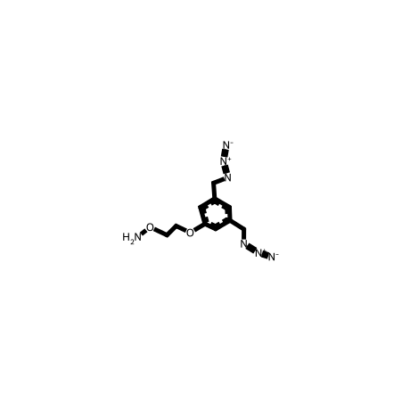 [N-]=[N+]=NCc1cc(CN=[N+]=[N-])cc(OCCON)c1